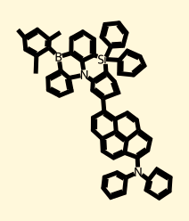 Cc1cc(C)c(B2c3ccccc3N3c4cc(-c5ccc6ccc7c(N(c8ccccc8)c8ccccc8)ccc8ccc5c6c87)ccc4[Si](c4ccccc4)(c4ccccc4)c4cccc2c43)c(C)c1